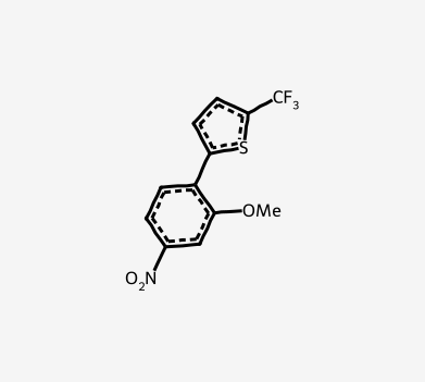 COc1cc([N+](=O)[O-])ccc1-c1ccc(C(F)(F)F)s1